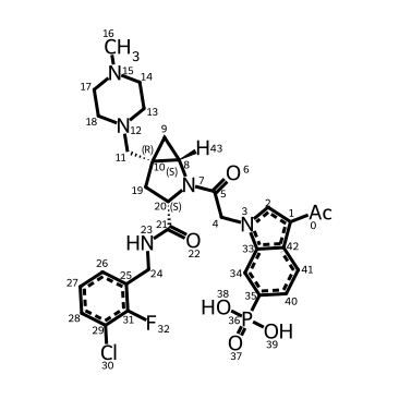 CC(=O)c1cn(CC(=O)N2[C@H]3C[C@]3(CN3CCN(C)CC3)C[C@H]2C(=O)NCc2cccc(Cl)c2F)c2cc(P(=O)(O)O)ccc12